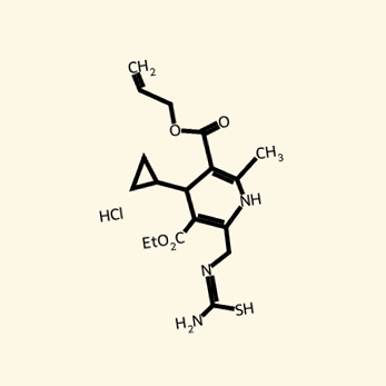 C=CCOC(=O)C1=C(C)NC(CN=C(N)S)=C(C(=O)OCC)C1C1CC1.Cl